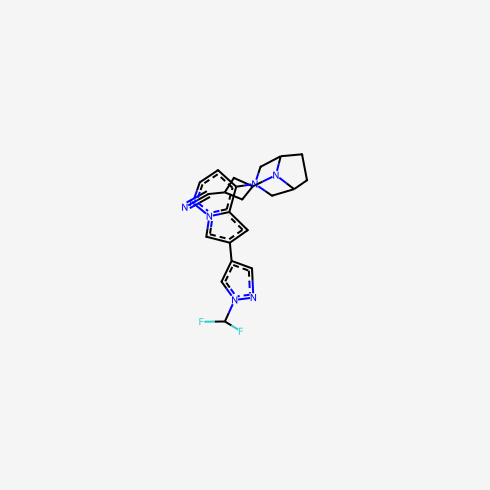 N#CC1CC(N2C3CCC2CN(c2ccnn4cc(-c5cnn(C(F)F)c5)cc24)C3)C1